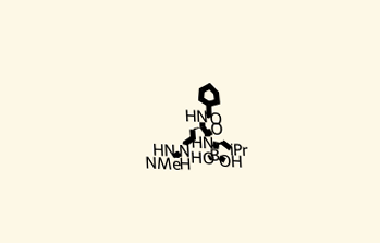 CNC(=N)NCCC[C@H](NC(=O)C1CCCCC1)C(=O)N[C@@H](CC(C)C)B(O)O